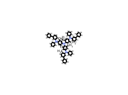 Cc1cc(N(c2cc(C)c(N(c3ccccc3)c3cccc(-c4ccccc4)c3)cc2C)c2cc(C)c(N(c3ccccc3)c3cccc(-c4ccccc4)c3)cc2C)c(C)cc1N(c1ccccc1)c1cccc(-c2ccccc2)c1